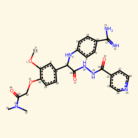 CCOc1cc(C(Nc2ccc(C(=N)N)cc2)C(=O)NNC(=O)c2ccncc2)ccc1OCC(=O)N(C)C